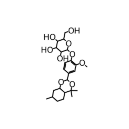 COc1cc(C2OC3CC(C)CCC3C(C)(C)O2)ccc1OC1OC(CO)C(O)C(O)C1O